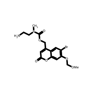 COCOc1cc2oc(=O)cc(COC(=O)N(C)CCN)c2cc1Br